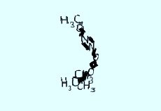 CCOCCN1CCN(CCO[C@H]2C[C@H](OCCC(C)(C)C)C2)CC1